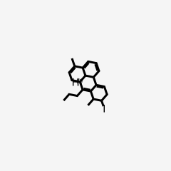 CCCC1=C2C(=CCC(I)C2C)C2C=CC=C3C(C)=CC[C@@H]1C32